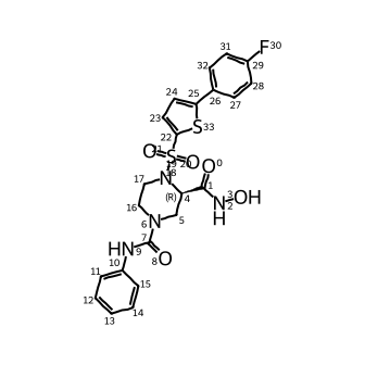 O=C(NO)[C@H]1CN(C(=O)Nc2ccccc2)CCN1S(=O)(=O)c1ccc(-c2ccc(F)cc2)s1